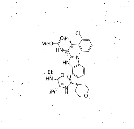 CCNC(=O)[C@H](NC(=O)C1(c2ccc3nc([C@@H](NC(=O)OC)[C@H](c4ccccc4Cl)C(C)C)[nH]c3c2)CCOCC1)C(C)C